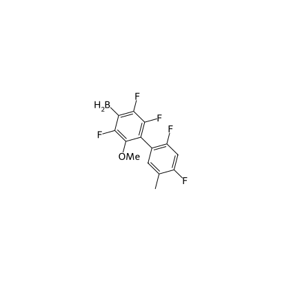 Bc1c(F)c(F)c(-c2cc(C)c(F)cc2F)c(OC)c1F